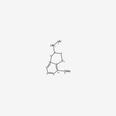 CCCNC1COc2c(cccc2OC)C1